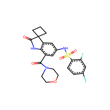 O=C(c1cc(NS(=O)(=O)c2ccc(F)cc2F)cc2c1NC(=O)C21CCC1)N1CCOCC1